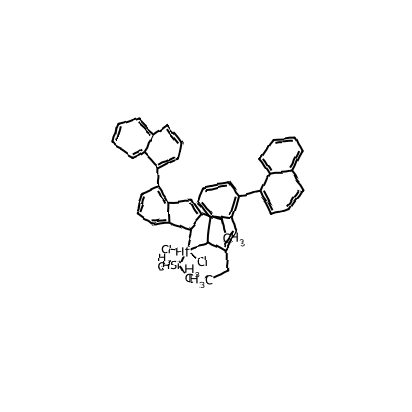 CCC1=Cc2c(-c3cccc4ccccc34)cccc2[CH]1[Hf]([Cl])([Cl])([CH]1C(CC)=Cc2c(-c3cccc4ccccc34)cccc21)[SiH](C)C